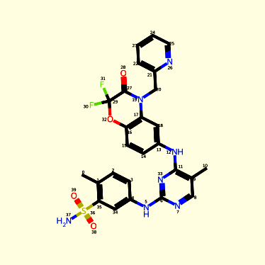 Cc1ccc(Nc2ncc(C)c(Nc3ccc4c(c3)N(Cc3ccccn3)C(=O)C(F)(F)O4)n2)cc1S(N)(=O)=O